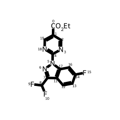 CCOC(=O)c1cnc(-n2nc(C(F)F)c3ccc(F)cc32)nc1